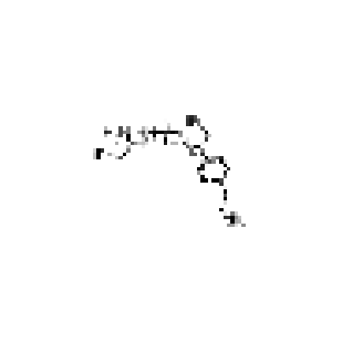 CC(C)CC(N)CNC(C)(C)CN[C@@H](CC(C)C)c1ccc(CCC(C)(C)C)cc1